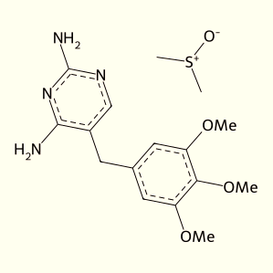 COc1cc(Cc2cnc(N)nc2N)cc(OC)c1OC.C[S+](C)[O-]